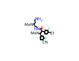 CCc1ccc(/C(C(=O)NCCC(CCN)NC)=C(/NC)c2ccc(C#N)c(F)c2)cc1F